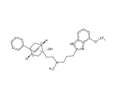 CN(CCCc1nc2c(OC(F)(F)F)cccc2[nH]1)CC[C@@]1(O)C[C@@H]2CC[C@H]1C=C2c1ccccc1